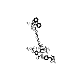 CC(=O)O[C@@H]1C[C@@H](C(=O)NCc2ccc(-c3scnc3C)cc2)N(C(=O)C(NC(=O)COCCOCCOCCO[Si](c2ccccc2)(c2ccccc2)C(C)(C)C)C(C)(C)C)C1